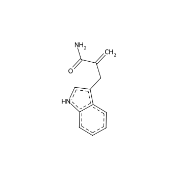 C=C(Cc1c[nH]c2ccccc12)C(N)=O